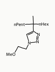 CCCCCCC(C)(CCCCC)c1cn(CCOC)nn1